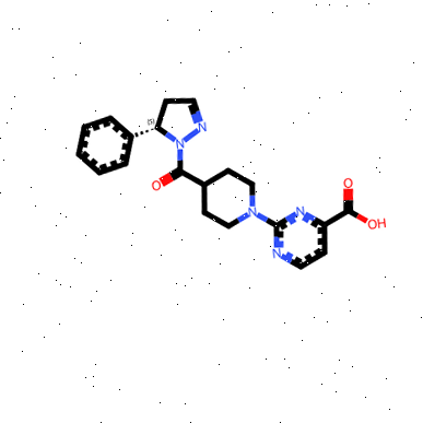 O=C(O)c1ccnc(N2CCC(C(=O)N3N=CC[C@H]3c3ccccc3)CC2)n1